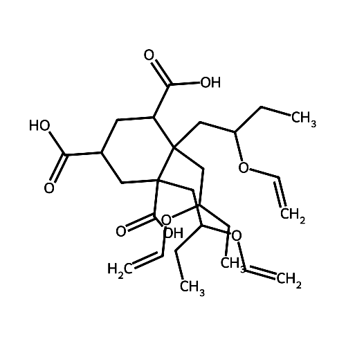 C=COC(CC)CC1(C(=O)O)CC(C(=O)O)CC(C(=O)O)C1(CC(CC)OC=C)CC(CC)OC=C